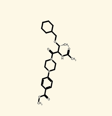 COC(=O)c1ccc(N2CCN(C(=O)C(NC(C)=O)[C@@H](C)OCC3CCCCC3)CC2)cc1